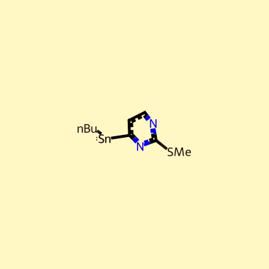 CCC[CH2][Sn][c]1ccnc(SC)n1